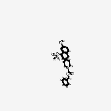 COc1ccc2c(c1)C(OS(C)(=O)=O)=CC1(CCN(C(=O)OCc3ccccc3)CC1)C2